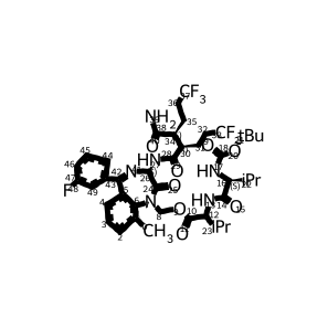 Cc1cccc2c1N(COC(=O)C(NC(=O)[C@@H](NC(=O)OC(C)(C)C)C(C)C)C(C)C)C(=O)[C@@H](NC(=O)[C@H](CCC(F)(F)F)[C@H](CCC(F)(F)F)C(N)=O)N=C2c1cccc(F)c1